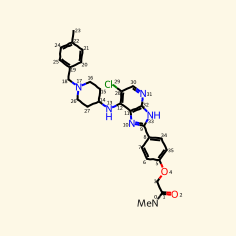 CNC(=O)COc1ccc(-c2nc3c(NC4CCN(Cc5ccc(C)cc5)CC4)c(Cl)cnc3[nH]2)cc1